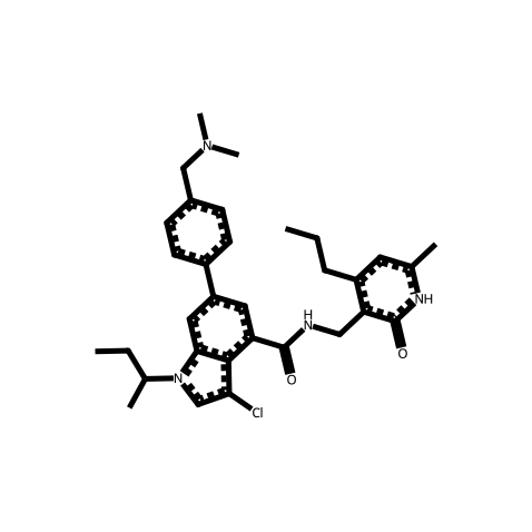 CCCc1cc(C)[nH]c(=O)c1CNC(=O)c1cc(-c2ccc(CN(C)C)cc2)cc2c1c(Cl)cn2C(C)CC